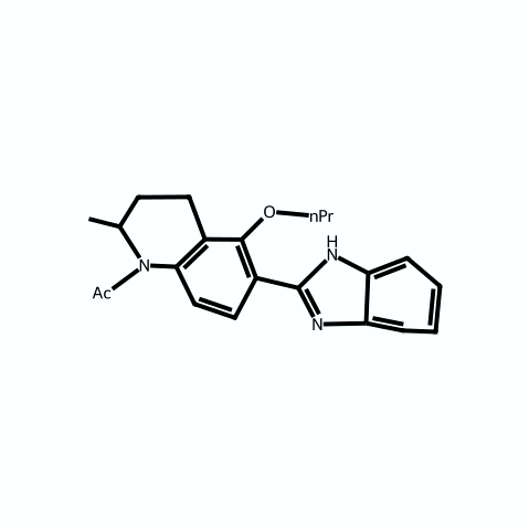 CCCOc1c(-c2nc3ccccc3[nH]2)ccc2c1CCC(C)N2C(C)=O